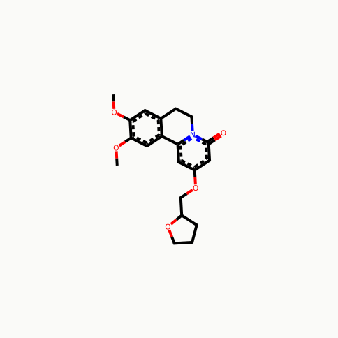 COc1cc2c(cc1OC)-c1cc(OCC3CCCO3)cc(=O)n1CC2